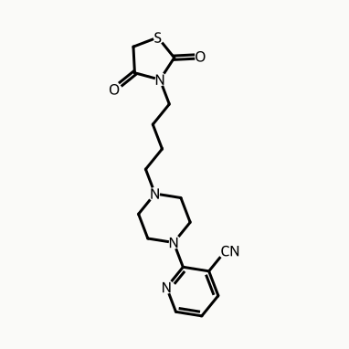 N#Cc1cccnc1N1CCN(CCCCN2C(=O)CSC2=O)CC1